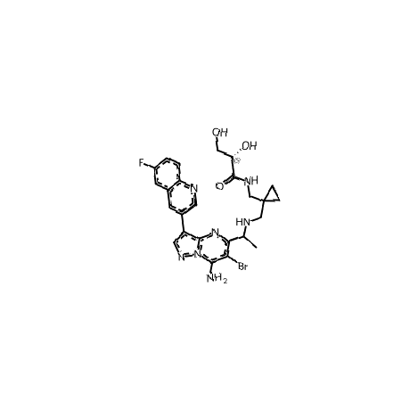 CC(NCC1(CNC(=O)[C@@H](O)CO)CC1)c1nc2c(-c3cnc4ccc(F)cc4c3)cnn2c(N)c1Br